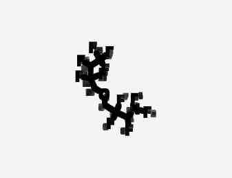 FC(N(F)F)C(F)(F)COCC(F)(F)C(F)C(F)(F)F